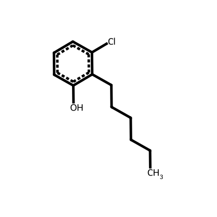 CCCCCCc1c(O)cccc1Cl